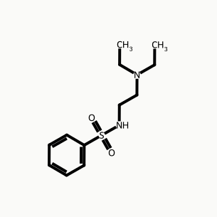 CCN(CC)CCNS(=O)(=O)c1ccccc1